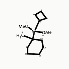 CO[Si](OC)(C1CCC1)C1(C)CCCCC1